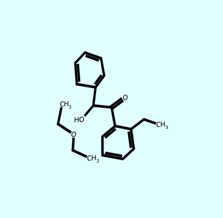 CCOCC.CCc1ccccc1C(=O)C(O)c1ccccc1